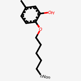 CCCCCCCCCCCCCCOc1ccc(C)cc1O